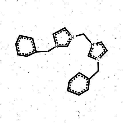 c1ccc(Cn2cc[n+](C[n+]3ccn(Cc4ccccc4)c3)c2)cc1